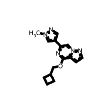 Cn1cc(-c2cn3nccc3c(OCC3CCC3)n2)cn1